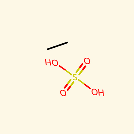 CC.O=S(=O)(O)O